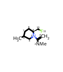 C=C(NC)N1CC(C)CC[C@H]1CF